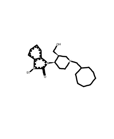 CCn1c(=O)n([C@@H]2CCN(CC3CCCCCCC3)C[C@@H]2CO)c2ccccc21